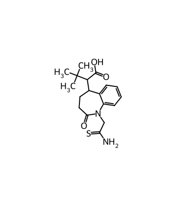 CC(C)(C)C(C(=O)O)C1CCC(=O)N(CC(N)=S)c2ccccc21